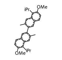 COc1ccc2cc(-c3cc4ccc(OC)c(C(C)C)c4cc3C)c(C)cc2c1C(C)C